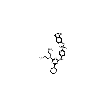 NCCN(CCN)c1nc(Nc2ccc(S(=O)(=O)Nc3ccc4cn[nH]c4c3)cc2)nc(C2CCCCC2)n1